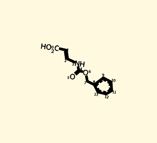 O=C(O)C=CNC(=O)OCc1ccccc1